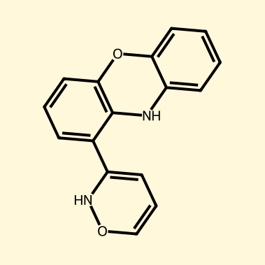 C1=CONC(c2cccc3c2Nc2ccccc2O3)=C1